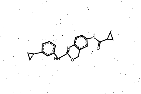 O=C(Nc1ccc2c(c1)COC(Nc1cccc(C3CC3)c1)=N2)C1CC1